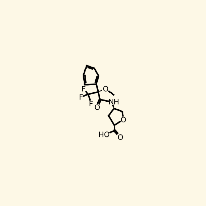 CO[C@@](C(=O)N[C@H]1CO[C@@H](C(=O)O)C1)(c1ccccc1)C(F)(F)F